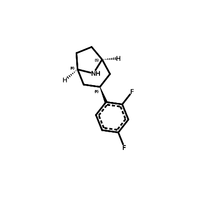 Fc1ccc([C@H]2C[C@H]3CC[C@@H](C2)N3)c(F)c1